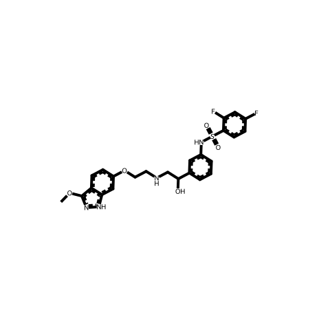 COc1n[nH]c2cc(OCCNCC(O)c3cccc(NS(=O)(=O)c4ccc(F)cc4F)c3)ccc12